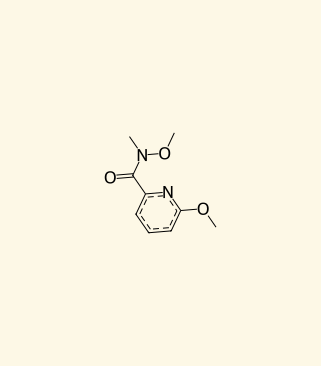 COc1cccc(C(=O)N(C)OC)n1